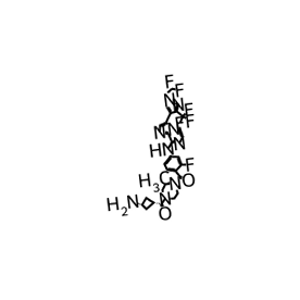 Cc1cc(Nc2nccn3c(-c4cn(CC(F)F)nc4C(F)(F)F)cnc23)cc(F)c1C(=O)N1CCN(C(=O)[C@H]2C[C@@H](N)C2)CC1